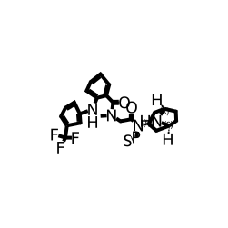 CN(CC(=O)N(P=S)[C@H]1C[C@H]2CC[C@@H](C1)N2)C(=O)c1ccccc1Nc1cccc(C(F)(F)F)c1